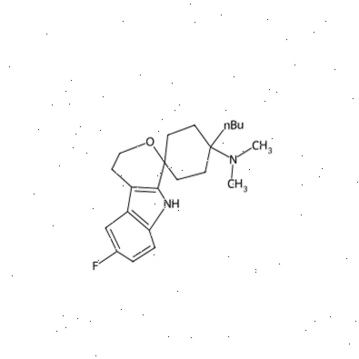 CCCCC1(N(C)C)CCC2(CC1)OCCc1c2[nH]c2ccc(F)cc12